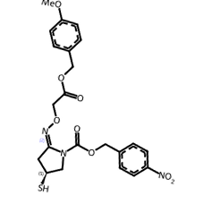 COc1ccc(COC(=O)CO/N=C2/C[C@H](S)CN2C(=O)OCc2ccc([N+](=O)[O-])cc2)cc1